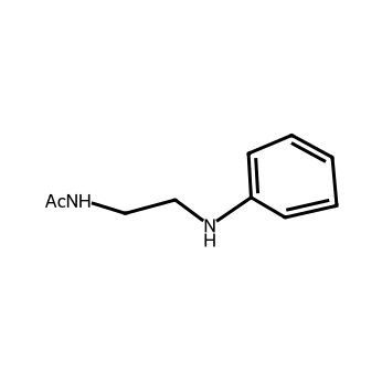 CC(=O)NCCNc1ccccc1